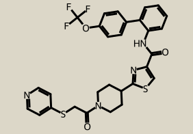 O=C(Nc1ccccc1-c1ccc(OC(F)(F)F)cc1)c1csc(C2CCN(C(=O)CSc3ccncc3)CC2)n1